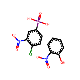 O=[N+]([O-])c1cc(P(=O)(O)O)ccc1Cl.O=[N+]([O-])c1ccccc1O